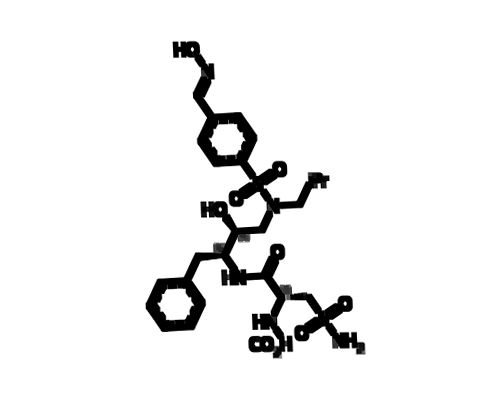 CC(C)CN(C[C@H](O)[C@H](Cc1ccccc1)NC(=O)[C@H](CS(N)(=O)=O)NC(=O)O)S(=O)(=O)c1ccc(C=NO)cc1